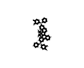 Cc1ccc(N(c2ccccc2)c2ccc3c4c(ccc3c2)-c2c(c3ccc(N(c5ccccc5)c5ccc(C)c(C)c5)cc3c3ccccc23)C4(C(C)(C)C)C(C)(C)C)cc1C